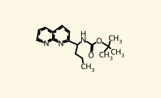 CCCC(NC(=O)OC(C)(C)C)c1ccc2cccnc2n1